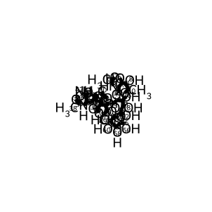 CC(=O)NC1C(O)[C@H](O)C(C)O[C@H]1OC1C(O)[C@H](O)C(C(=O)O)O[C@H]1OC1C(NC(C)=O)[C@H](OC2C(NC(C)=O)[C@H](ON)OC3O[C@@H]32)OC(C)[C@H]1O[C@@H]1OC(CO)[C@@H](O)C(O)C1O